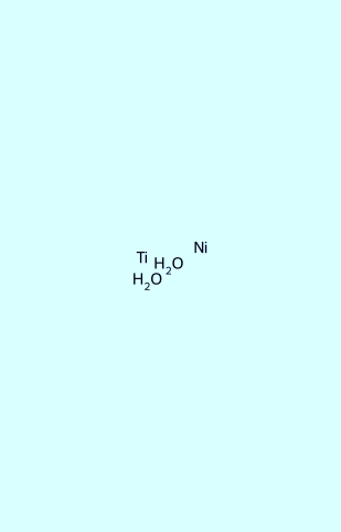 O.O.[Ni].[Ti]